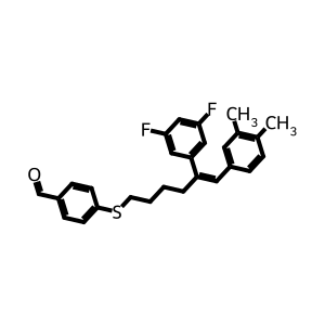 Cc1ccc(C=C(CCCCSc2ccc(C=O)cc2)c2cc(F)cc(F)c2)cc1C